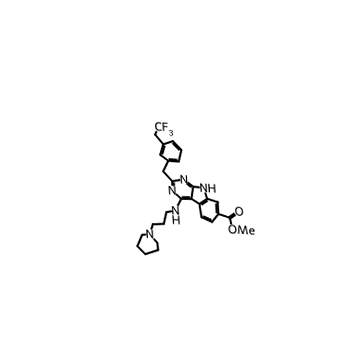 COC(=O)c1ccc2c(c1)[nH]c1nc(Cc3cccc(CC(F)(F)F)c3)nc(NCCCN3CCCCC3)c12